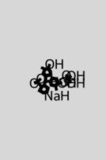 Cc1cc(C2(c3ccc(O)c(C)c3)OC(=O)c3ccccc32)ccc1O.O=P(O)(O)O.[NaH]